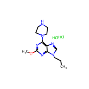 CCCn1cnc2c(N3CCNCC3)nc(OC)nc21.Cl.Cl